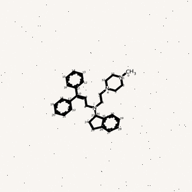 CN1CCN(CCN(CC=C(c2ccccc2)c2ccccc2)[C@@H]2CCc3ccccc32)CC1